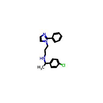 CC(NCCCn1ccnc1-c1ccccc1)c1ccc(Cl)cc1